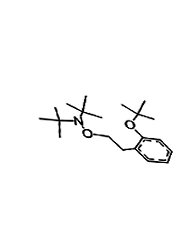 CC(C)(C)Oc1ccccc1CCON(C(C)(C)C)C(C)(C)C